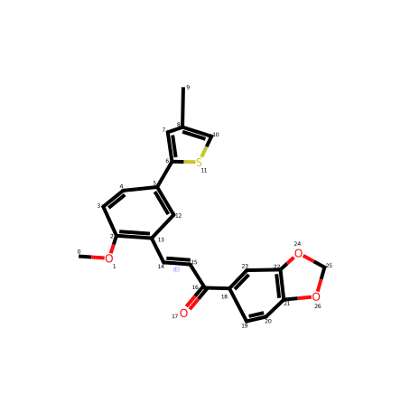 COc1ccc(-c2cc(C)cs2)cc1/C=C/C(=O)c1ccc2c(c1)OCO2